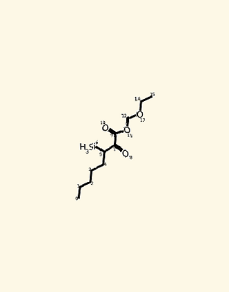 CCCCCC([SiH3])C(=O)C(=O)OCOCC